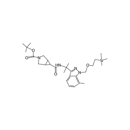 Cc1cccc2c(C(C)(C)NC(=O)C3C4CN(C(=O)OC(C)(C)C)CC43)nn(COCC[Si](C)(C)C)c12